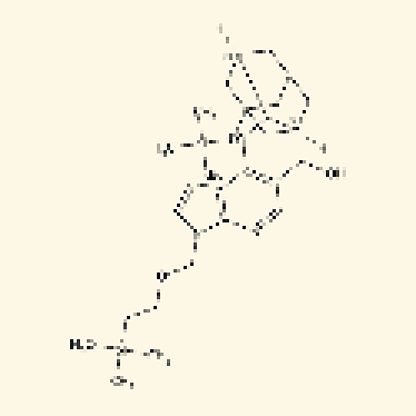 CC(C)(C)[Si](C)(C)OC12CC3C[C@H](C1)C(Nc1c(CO)cnc4c1ccn4COCC[Si](C)(C)C)[C@@H](C3)C2